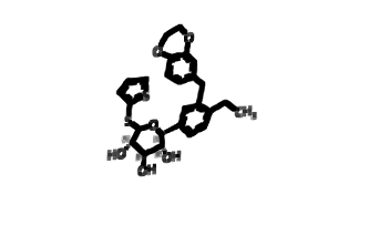 CCc1ccc([C@@H]2OC(Sc3cccs3)[C@@H](O)[C@H](O)[C@H]2O)cc1Cc1ccc2c(c1)OCCO2